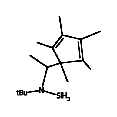 CC1=C(C)C(C)(C(C)N([SiH3])C(C)(C)C)C(C)=C1C